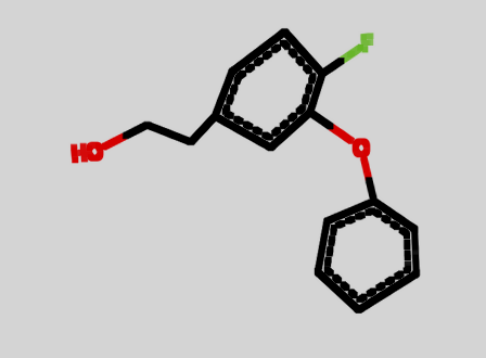 OCCc1ccc(F)c(Oc2ccccc2)c1